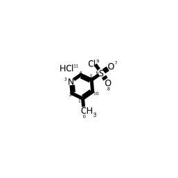 Cc1cncc(S(=O)(=O)Cl)c1.Cl